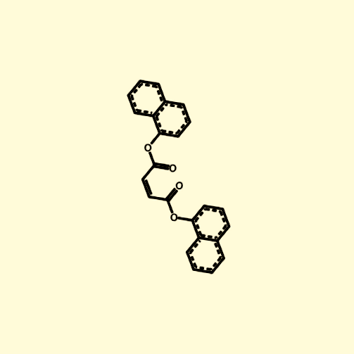 O=C(/C=C\C(=O)Oc1cccc2ccccc12)Oc1cccc2ccccc12